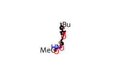 COC(=O)CCNC(=O)c1ccc(CCCOc2cc(C)c(-c3ccc(C(C)(C)C)cc3)c(C)c2)s1